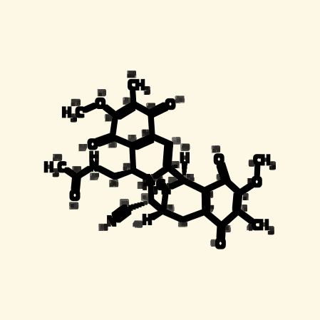 COC1=C(C)C(=O)C2=C(C1=O)[C@@H]1C3=CC4=C(C(=O)C(OC)=C(C)C4=O)[C@H](CNC(C)=O)N3[C@@H](C#N)[C@@H](C2)N1C